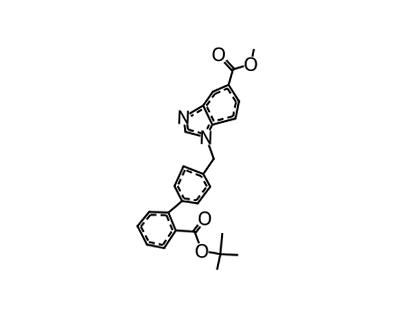 COC(=O)c1ccc2c(c1)ncn2Cc1ccc(-c2ccccc2C(=O)OC(C)(C)C)cc1